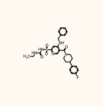 CCNC(=O)NS(=O)(=O)c1cc(NCc2ccccc2)c(C(=O)N2CCC(c3ccc(F)cc3)CC2)cn1